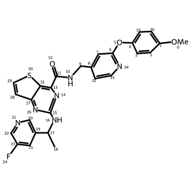 COc1ccc(Oc2cc(CNC(=O)c3nc(NC(C)c4cncc(F)c4)nc4ccsc34)ccn2)cc1